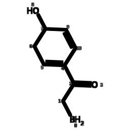 BCC(=O)C1=CCC(O)C=C1